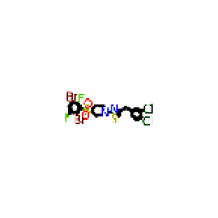 O=S(=O)(c1c(F)c(Br)cc(F)c1Br)C1CCN(c2nc(Cc3ccc(Cl)c(Cl)c3)cs2)CC1